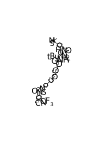 Cc1ncsc1-c1ccc(CNC(=O)[C@@H]2C[C@@H](C)CN2C(=O)[C@@H](NC(=O)OCCOCCOc2ccc(-c3ccc(N4C(=S)N(c5ccc(C#N)c(C(F)(F)F)c5)C(=O)C4(C)C)cc3)cc2)C(C)(C)C)cc1